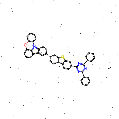 c1ccc(-c2nc(-c3ccccc3)nc(-c3ccc4c(c3)sc3cc(-c5ccc6c(c5)c5cccc7c5n6-c5ccccc5O7)ccc34)n2)cc1